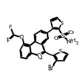 NS(=O)(=O)c1sccc1-c1ccc2c(c1)C(c1sccc1Br)Oc1cccc(OC(F)F)c1-2